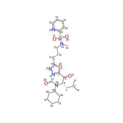 CC(C)C[C@@H](C(=O)c1nnc(SCCN(C)S(=O)(=O)c2ccccn2)o1)N(C=O)C1CCCCC1